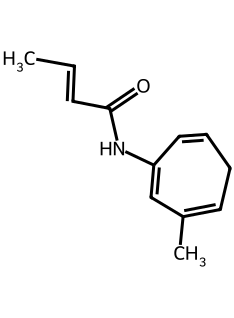 C/C=C/C(=O)NC1=CC(C)=CCC=C1